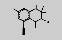 C#Cc1cc(F)cc2c1C(C)C(O)C(C)(C)N2